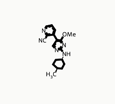 COc1nc(N[C@H]2CC[C@H](C)CC2)ncc1-c1cccnc1C#N